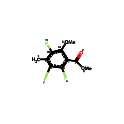 COC(=O)c1c(F)c(F)c(C)c(F)c1OC